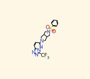 O=S(=O)(c1ccccc1)N1CC2CN(c3ccc4nnc(C(F)(F)F)n4n3)CC2C1